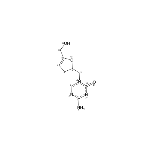 Nc1ncn(CC2CC=C(CO)O2)c(=O)n1